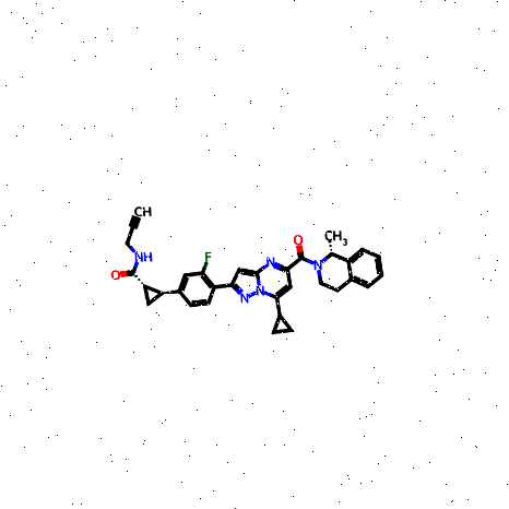 C#CCNC(=O)[C@H]1C[C@@H]1c1ccc(-c2cc3nc(C(=O)N4CCc5ccccc5[C@H]4C)cc(C4CC4)n3n2)c(F)c1